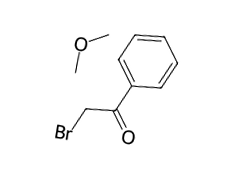 COC.O=C(CBr)c1ccccc1